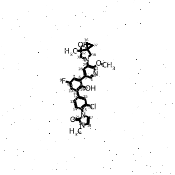 COc1ncc(-c2cc(F)cc(-c3ccc(-n4ccn(C)c4=O)c(Cl)c3)c2O)cc1N1CC(C)(O)C2(CC2)C1